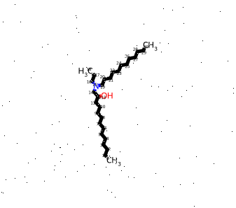 CCCCCCCCCCCCC(O)CN(CCC)CCCCCCCCCCCC